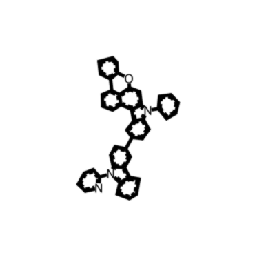 c1ccc(-n2c3ccc(-c4ccc5c(c4)c4ccccc4n5-c4ccccn4)cc3c3c4cccc5c4c(cc32)Oc2ccccc2-5)cc1